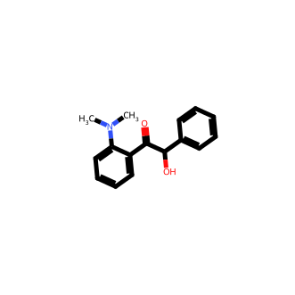 CN(C)c1ccccc1C(=O)C(O)c1ccccc1